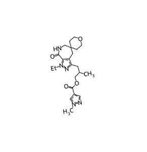 CCn1nc(CC(C)COC(=O)c2cnn(C)c2)c2c1C(=O)NCC1(CCOCC1)C2